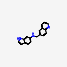 c1cnc2ccc(CNc3ccc4cc[nH]c4c3)cc2c1